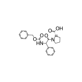 O=C(NC(C(=O)N1CCC[C@H]1C(=O)O)c1ccccc1)OCc1ccccc1